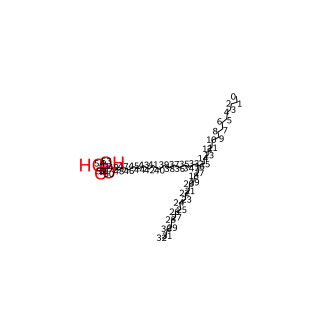 CCCCCCCCCCCCCCCCC(CCCCCCCCCCCCCCCC)CCCCCCCCCCCCCCCCCOP(=O)(O)O